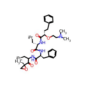 CC(C)CC(NC(=O)[C@H](Cc1ccccc1)NC(=O)[C@H](CC(C)C)NC(=O)[C@H](CCc1ccccc1)OCCN(C)C)C(=O)[C@@]1(C)CO1